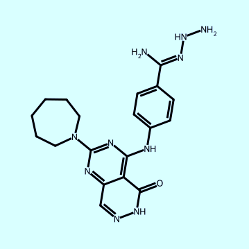 NN/N=C(\N)c1ccc(Nc2nc(N3CCCCCC3)nc3cn[nH]c(=O)c23)cc1